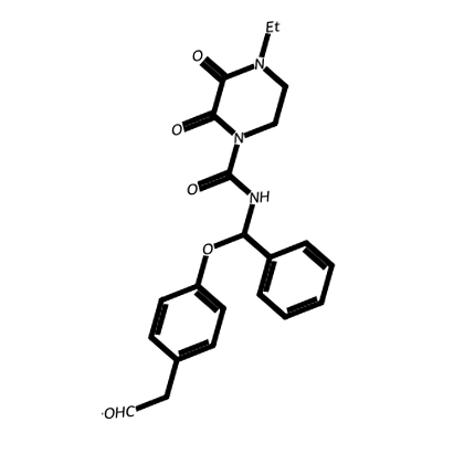 CCN1CCN(C(=O)NC(Oc2ccc(C[C]=O)cc2)c2ccccc2)C(=O)C1=O